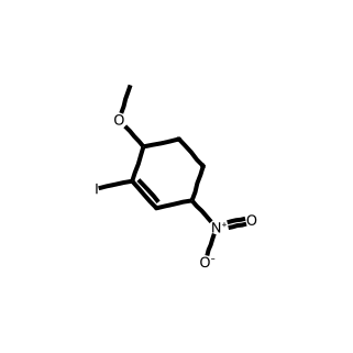 COC1CCC([N+](=O)[O-])C=C1I